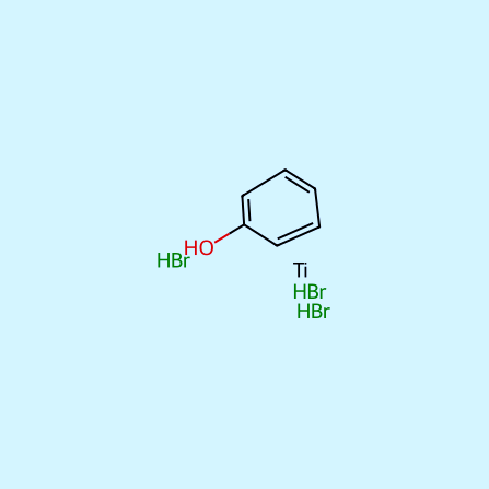 Br.Br.Br.Oc1ccccc1.[Ti]